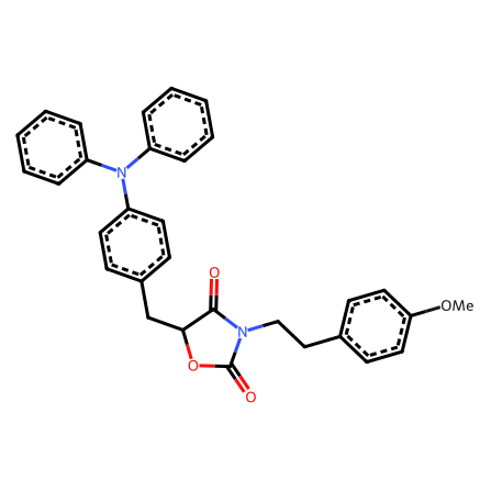 COc1ccc(CCN2C(=O)OC(Cc3ccc(N(c4ccccc4)c4ccccc4)cc3)C2=O)cc1